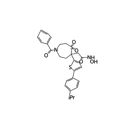 CC(C)c1ccc(-c2ccc(C3(CC(=O)NO)CCN(C(=O)c4ccccc4)CCS3(=O)=O)s2)cc1